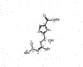 COC(=O)c1csc([C@H](O)C/C(=N\[S+]([O-])C(C)(C)C)C(C)C)n1